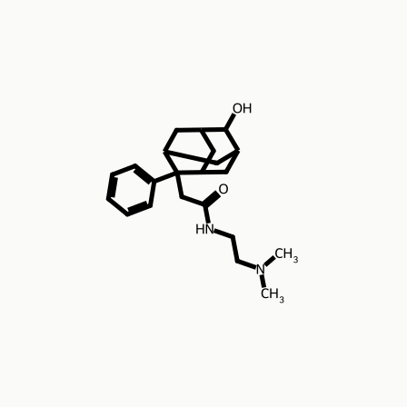 CN(C)CCNC(=O)CC1(c2ccccc2)C2CC3CC1CC(C2)C3O